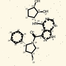 O=C(c1n[nH]c2ncnc(N[C@@H]3CC[C@@H](O)[C@H]3O)c12)N1C[C@@H](F)C[C@@H]1c1ccccc1